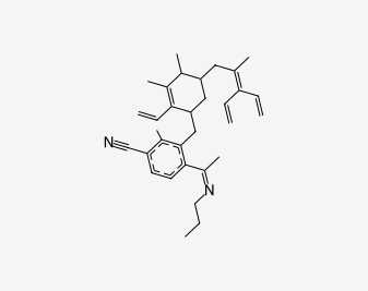 C=CC(C=C)=C(C)CC1CC(Cc2c(/C(C)=N\CCC)ccc(C#N)c2C)C(C=C)=C(C)C1C